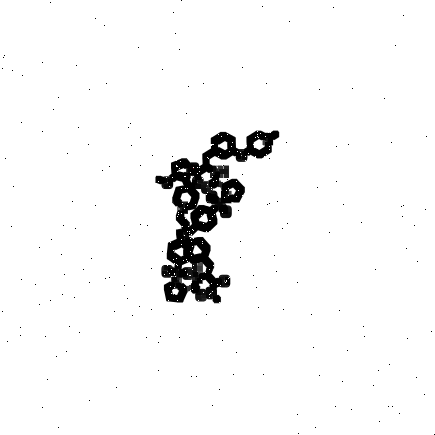 COC(=O)[C@H](Cc1ccc(OCCN2CCC(OC(=O)C(Cc3cccc(OC4CCN(C)CC4)c3)NC(=O)[C@@H]3CCCN3S(=O)(=O)c3ccc(C)cc3)(c3sccc3OC)CC2)cc1)NC(=O)[C@@H]1CCCN1S(=O)(=O)c1ccc(C)cc1